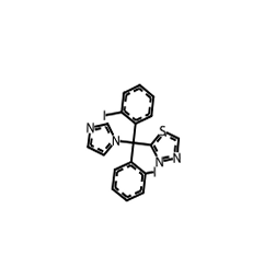 Ic1ccccc1C(c1nncs1)(c1ccccc1I)n1ccnc1